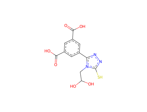 O=C(O)c1cc(C(=O)O)cc(-c2nnc(S)n2CC(O)O)c1